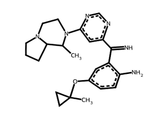 CC1C2CCCN2CCN1c1cc(C(=N)c2cc(OC3(C)CC3)ccc2N)ncn1